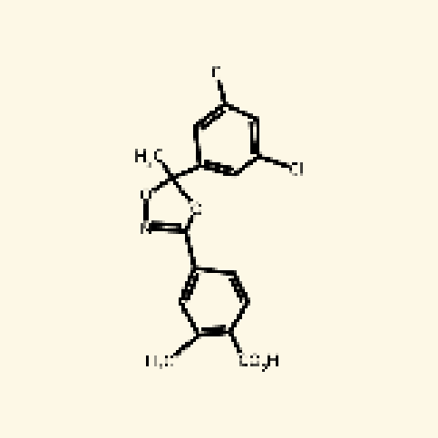 Cc1cc(C2=NOC(C)(c3cc(Cl)cc(Cl)c3)O2)ccc1C(=O)O